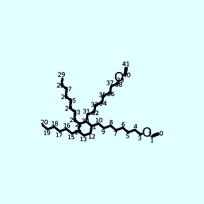 C=COCCCCCCCCC1CCC(CCCCCC)C(CCCCCCCC)C1CCCCCCCCOC=C